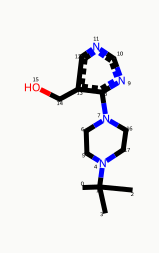 CC(C)(C)N1CCN(c2ncncc2CO)CC1